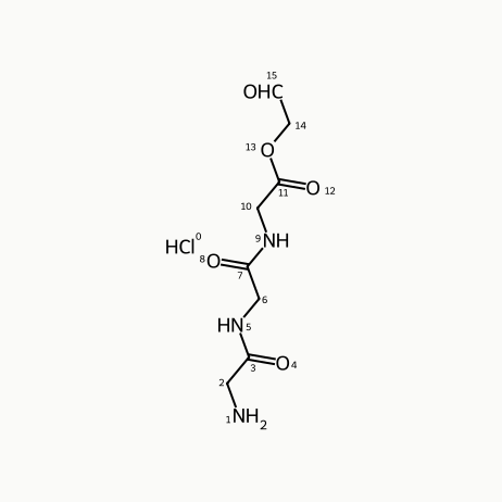 Cl.NCC(=O)NCC(=O)NCC(=O)OCC=O